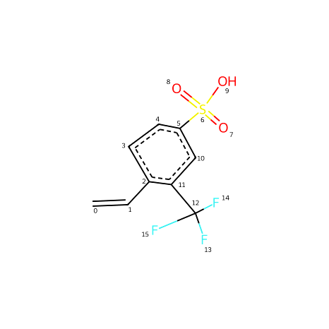 C=Cc1ccc(S(=O)(=O)O)cc1C(F)(F)F